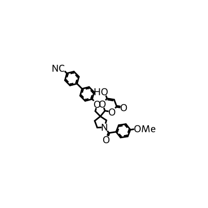 COc1ccc(C(=O)N2CCC(COc3ccc(-c4ccc(C#N)cc4)cc3)(C3OC(=O)C=C(O)O3)C2)cc1